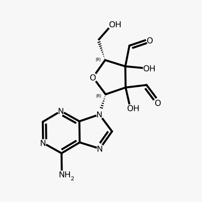 Nc1ncnc2c1ncn2[C@@H]1O[C@H](CO)C(O)(C=O)C1(O)C=O